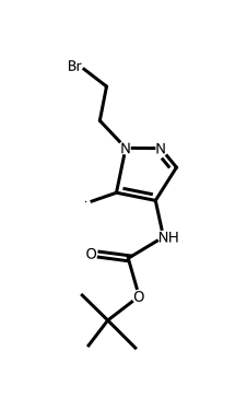 [CH2]c1c(NC(=O)OC(C)(C)C)cnn1CCBr